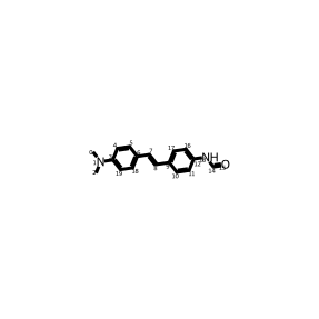 CN(C)c1ccc(C=Cc2ccc(NC=O)cc2)cc1